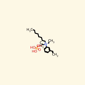 C=Cc1cccc([N+](CC)(CC)CCCCCCCC)c1.O=P(O)(O)O